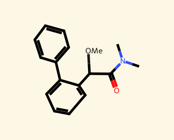 COC(C(=O)N(C)C)c1ccccc1-c1ccccc1